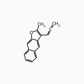 C=C=Cc1c(C)oc2cc3ccccc3cc12